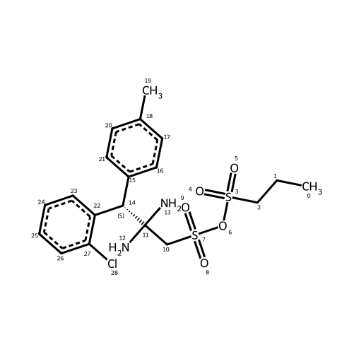 CCCS(=O)(=O)OS(=O)(=O)CC(N)(N)[C@@H](c1ccc(C)cc1)c1ccccc1Cl